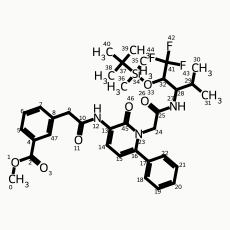 COC(=O)c1cccc(CC(=O)Nc2ccc(-c3ccccc3)n(CC(=O)NC(C(C)C)C(O[Si](C)(C)C(C)(C)C)C(F)(F)F)c2=O)c1